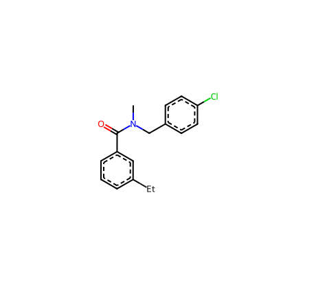 CCc1cccc(C(=O)N(C)Cc2ccc(Cl)cc2)c1